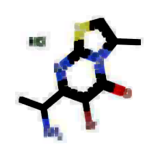 Cc1csc2nc(C(C)N)c(Br)c(=O)n12.Cl